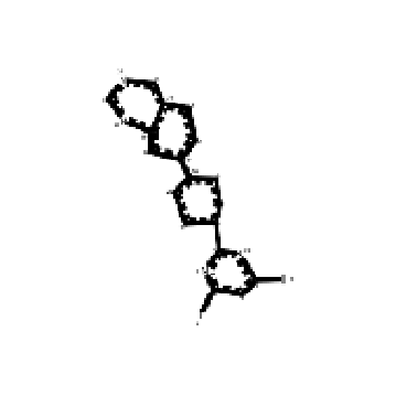 Ic1cc(I)nc(-c2ccc(-c3ccc4cncnc4c3)cc2)n1